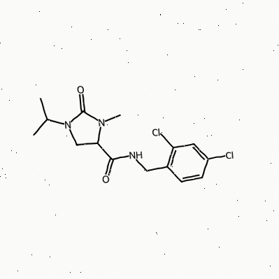 CC(C)N1CC(C(=O)NCc2ccc(Cl)cc2Cl)N(C)C1=O